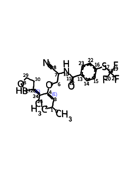 CC(C)/C=C(OCC(C#N)NC(=O)c1ccc(SC(F)(F)F)cc1)\C(Cl)=C1\BOCC1